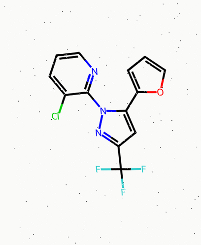 FC(F)(F)c1cc(-c2ccco2)n(-c2ncccc2Cl)n1